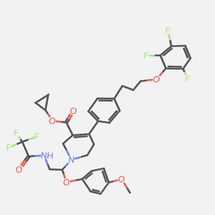 COc1ccc(OC(CNC(=O)C(F)(F)F)N2CCC(c3ccc(CCCOc4c(F)ccc(F)c4F)cc3)=C(C(=O)OC3CC3)C2)cc1